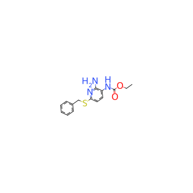 CCOC(=O)Nc1ccc(SCc2ccccc2)nc1N